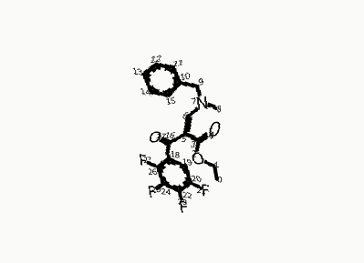 CCOC(=O)C(=CN(C)Cc1ccccc1)C(=O)c1cc(F)c(F)c(F)c1F